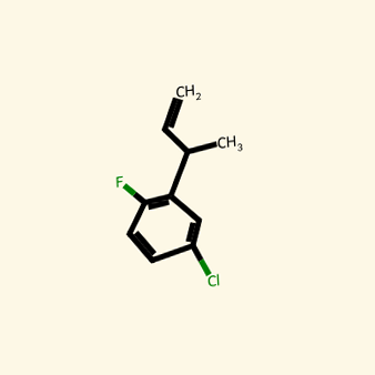 C=C[C](C)c1cc(Cl)ccc1F